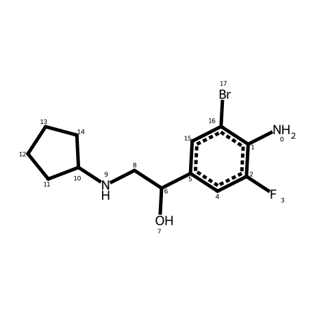 Nc1c(F)cc(C(O)CNC2CCCC2)cc1Br